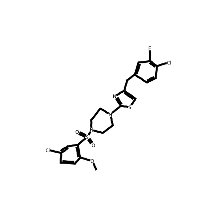 COc1ccc(Cl)cc1S(=O)(=O)N1CCN(c2nc(Cc3ccc(Cl)c(F)c3)cs2)CC1